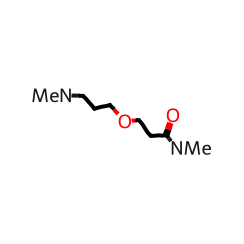 CNCCCOCCC(=O)NC